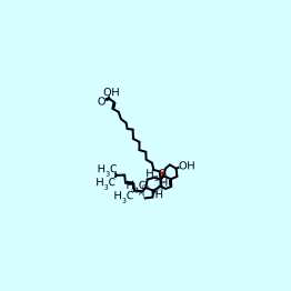 CC(C)CC=C[C@@H](C)[C@H]1CC[C@H]2[C@@H]3CC=C4CC(O)CC[C@]4(C)C3(CCCCCCCCCCCCCC=CC(=O)O)CC[C@]12C